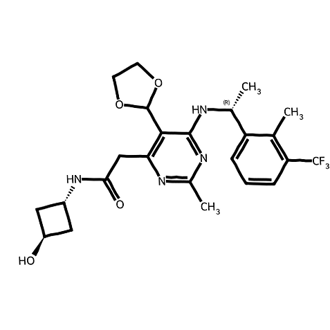 Cc1nc(CC(=O)N[C@H]2C[C@H](O)C2)c(C2OCCO2)c(N[C@H](C)c2cccc(C(F)(F)F)c2C)n1